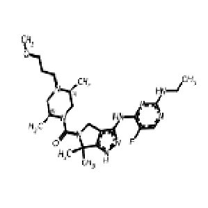 CCNc1ncc(F)c(Nc2n[nH]c3c2CN(C(=O)N2C[C@H](C)N(CCCOC)C[C@@H]2C)C3(C)C)n1